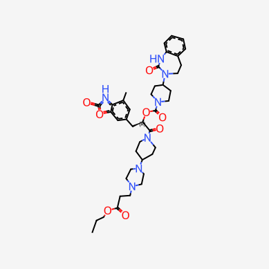 CCCOC(=O)CCN1CCN(C2CCN(C(=O)[C@@H](Cc3cc(C)c4[nH]c(=O)oc4c3)OC(=O)N3CCC(N4CCc5ccccc5NC4=O)CC3)CC2)CC1